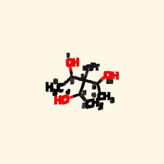 CCCC(C(C)O)(C(C)O)C(C)O